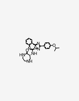 CC(C)Oc1ccc(-c2nc3c4ccccc4nc(N[C@@H]4CNCCNC4=O)n3n2)cc1